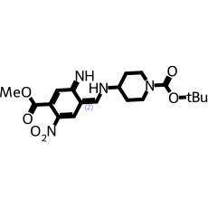 COC(=O)C1=CC(=N)/C(=C\NC2CCN(C(=O)OC(C)(C)C)CC2)C=C1[N+](=O)[O-]